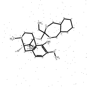 CCC1(C[C@]23CCN(C)[C@H](Cc4ccc(OC)c(O)c42)C3(C)O)OCC2CCCCC2CO1